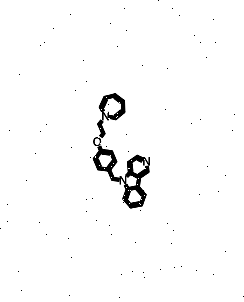 C1=CC=CN(CCOc2ccc(Cn3c4ccccc4c4cnccc43)cc2)C=C1